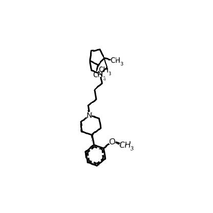 COc1ccccc1C1CCN(CCCCN2CC3CCC(C)(C2)C3(C)C)CC1